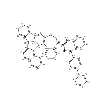 c1ccc(-c2ccc(-c3nc(C4CCc5cc6c7ccccc7n7c8ccc9ccccc9c8c(c5-c5ccccc54)c67)nc4ccccc34)cc2)cc1